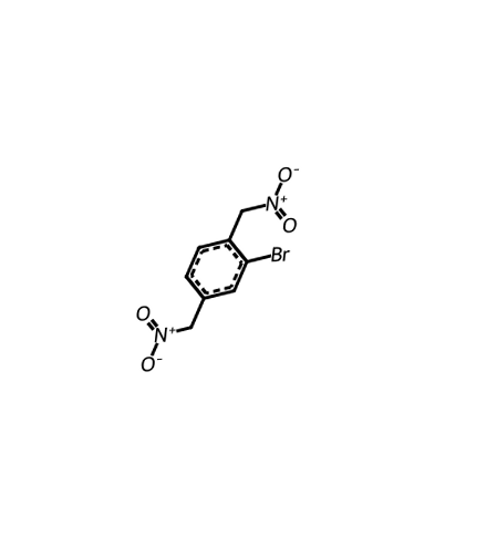 O=[N+]([O-])Cc1ccc(C[N+](=O)[O-])c(Br)c1